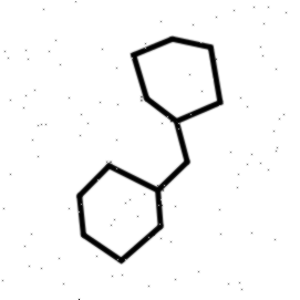 [C]1CCCC[C]1C[C]1[C]CCCC1